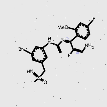 C=C(/N=C(\C(F)=C/N)c1ccc(F)cc1OC)Nc1cc(Br)cc(CS(C)(=N)=O)c1